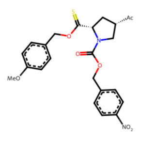 COc1ccc(COC(=S)[C@@H]2C[C@H](C(C)=O)CN2C(=O)OCc2ccc([N+](=O)[O-])cc2)cc1